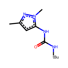 Cc1cc(NC(=O)NC(C)(C)C)n(C)n1